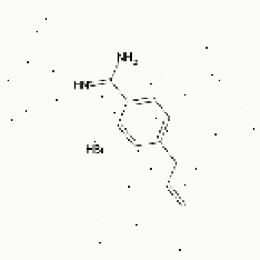 Br.C=CCc1ccc(C(=N)N)cc1